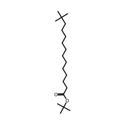 CC(C)(C)CCCCCCCCCCCC(=O)OC(C)(C)C